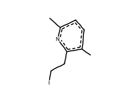 Cc1ccc(C)c(CCI)n1